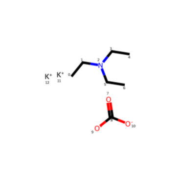 CCN(CC)CC.O=C([O-])[O-].[K+].[K+]